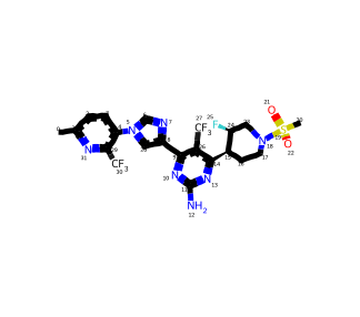 Cc1ccc(-n2cnc(-c3nc(N)nc([C@@H]4CCN(S(C)(=O)=O)C[C@@H]4F)c3C(F)(F)F)c2)c(C(F)(F)F)n1